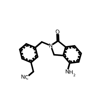 N#CCc1cccc(CN2Cc3c(N)cccc3C2=O)c1